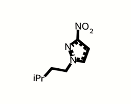 CC(C)CCn1ccc([N+](=O)[O-])n1